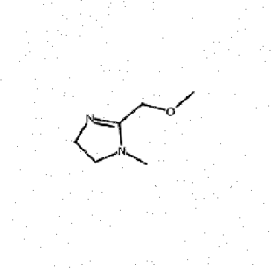 COCC1=NCCN1C